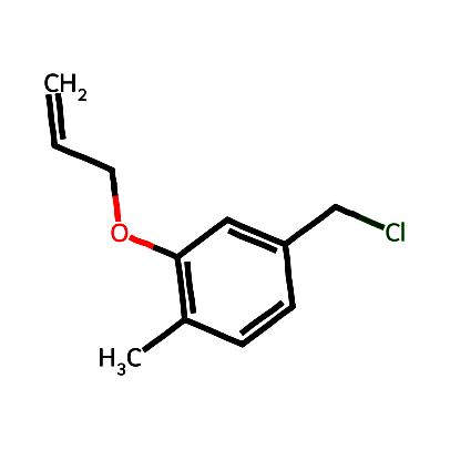 C=CCOc1cc(CCl)ccc1C